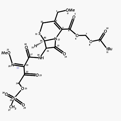 COCC1=C(C(=O)OCOC(=O)C(C)(C)C)N2C(=O)C(NC(=O)/C(=N\OC)C(=O)COS(C)(=O)=O)[C@H]2SC1